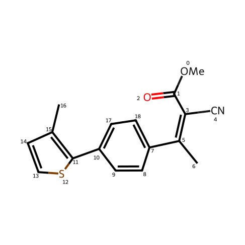 COC(=O)C(C#N)=C(C)c1ccc(-c2sccc2C)cc1